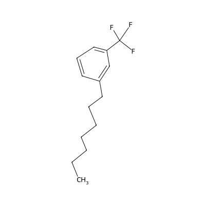 CCCCCCCc1cccc(C(F)(F)F)c1